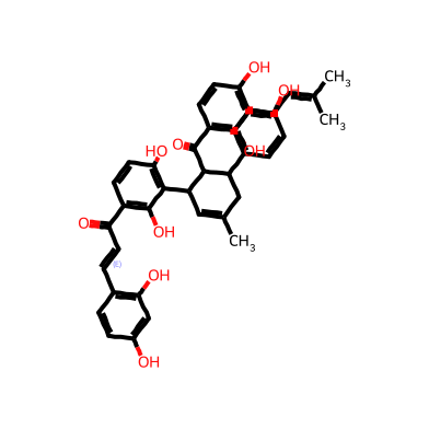 CC(C)=CCc1c(O)ccc(C(=O)C2C(c3c(O)ccc(C(=O)/C=C/c4ccc(O)cc4O)c3O)C=C(C)CC2c2ccc(O)cc2)c1O